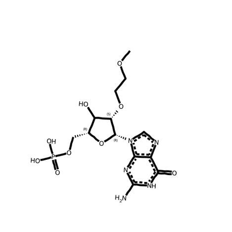 COCCO[C@H]1C(O)[C@@H](COP(=O)(O)O)O[C@H]1n1cnc2c(=O)[nH]c(N)nc21